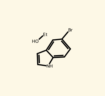 Brc1ccc2[nH]ccc2c1.CCO